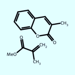 C=C(C)C(=O)OC.Cc1cc2ccccc2oc1=O